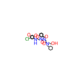 COc1cc(OC)c(NC(=O)Cn2c(=O)n(CC(=O)N(CCO)CC3CCCCC3)c(=O)c3ccccc32)cc1Cl